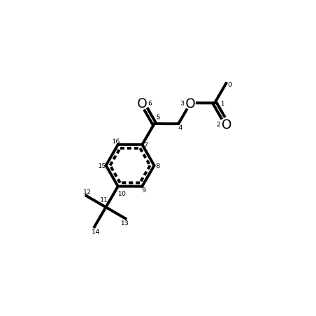 CC(=O)OCC(=O)c1ccc(C(C)(C)C)cc1